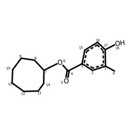 Cc1cc(C(=O)OC2CCCCCCC2)ccc1O